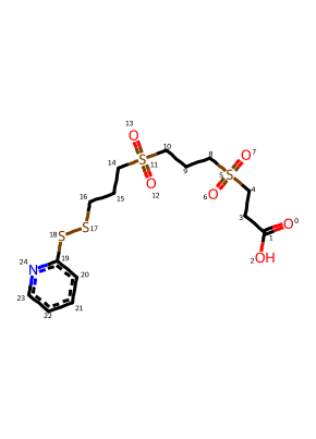 O=C(O)CCS(=O)(=O)CCCS(=O)(=O)CCCSSc1ccccn1